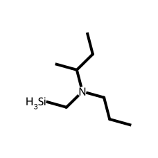 CCCN(C[SiH3])C(C)CC